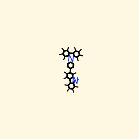 Cc1c(C)c(C)c2c(c1C)c1c(C)c(C)c(-c3ccc(-n4c5c(C)c(C)c(C)c(C)c5c5c(C)c(C)c(C)c(C)c54)cc3)c(C)c1n2C